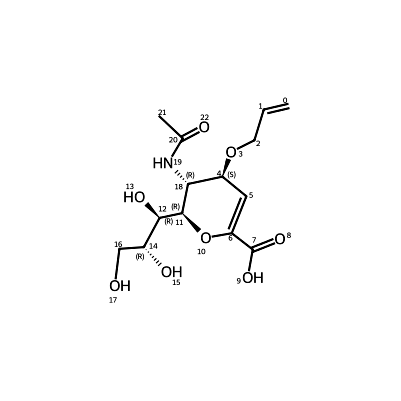 C=CCO[C@H]1C=C(C(=O)O)O[C@@H]([C@H](O)[C@H](O)CO)[C@@H]1NC(C)=O